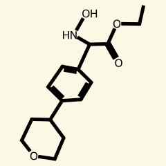 CCOC(=O)C(NO)c1ccc(C2CCOCC2)cc1